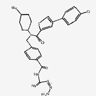 CC(C)(C)C1CCC(N(Cc2ccc(C(=O)NC(=N)/N=N\N)cc2)C(=O)c2cc(-c3ccc(Cl)cc3)cs2)CC1